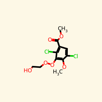 COC(=O)c1cc(Cl)c(OC)c(OOCCO)c1Cl